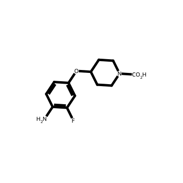 Nc1ccc(OC2CCN(C(=O)O)CC2)cc1F